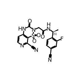 C[C@H](NC(=O)CN1C(=O)Nc2ccnc(C#N)c2S1(=O)=O)c1ccc(C#N)cc1F